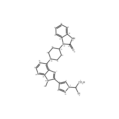 CCC(C(=O)O)n1cc(-c2nc3c(N4CCC(n5c(=O)[nH]c6ccccc65)CC4)ncnc3n2C)cn1